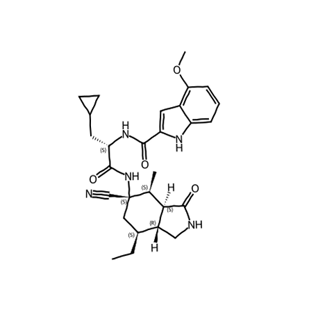 CC[C@H]1C[C@](C#N)(NC(=O)[C@H](CC2CC2)NC(=O)c2cc3c(OC)cccc3[nH]2)[C@@H](C)[C@H]2C(=O)NC[C@H]12